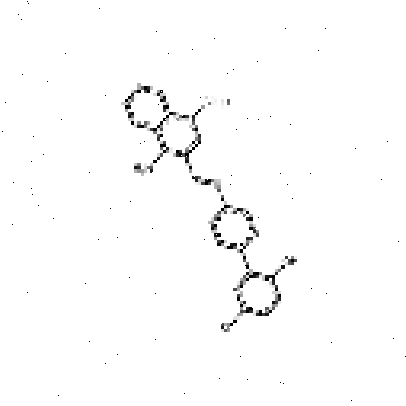 Nc1c(N=Nc2ccc(-c3cc(Cl)ccc3O)nc2)cc(S(=O)(=O)O)c2ccccc12